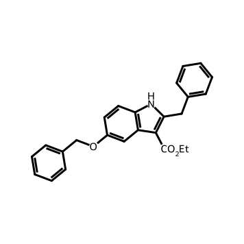 CCOC(=O)c1c(Cc2ccccc2)[nH]c2ccc(OCc3ccccc3)cc12